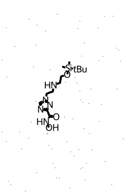 CC(C)(C)[Si](C)(C)OCCNCCn1cnc(C(=O)NO)n1